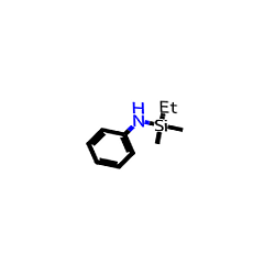 CC[Si](C)(C)Nc1ccccc1